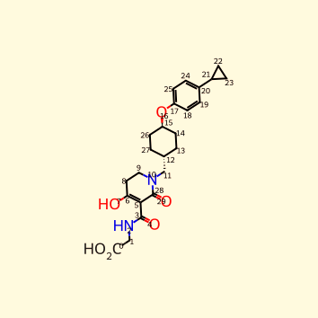 O=C(O)CNC(=O)C1=C(O)CCN(C[C@H]2CC[C@H](Oc3ccc(C4CC4)cc3)CC2)C1=O